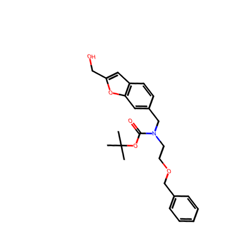 CC(C)(C)OC(=O)N(CCOCc1ccccc1)Cc1ccc2cc(CO)oc2c1